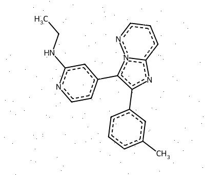 CCNc1cc(-c2c(-c3cccc(C)c3)nc3cccnn23)ccn1